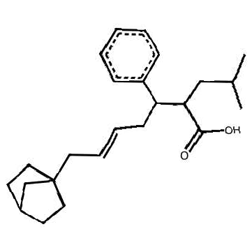 CC(C)CC(C(=O)O)C(CC=CCC12CCC(CC1)C2)c1ccccc1